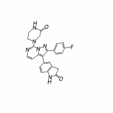 O=C1CN(c2nccc3c(-c4ccc5c(c4)CC(=O)N5)c(-c4ccc(F)cc4)nn23)CCN1